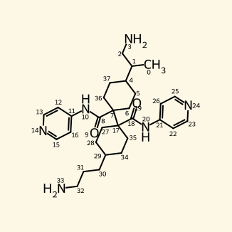 CC(CN)C1CCC(C(=O)Nc2ccncc2)(C2(C(=O)Nc3ccncc3)CCC(CCCN)CC2)CC1